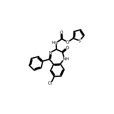 O=C(NC1N=C(c2ccccc2)c2cc(Cl)ccc2NC1=O)Oc1cccs1